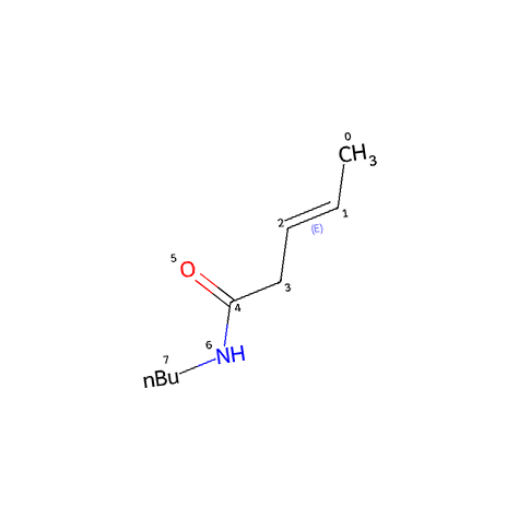 C/C=C/CC(=O)NCCCC